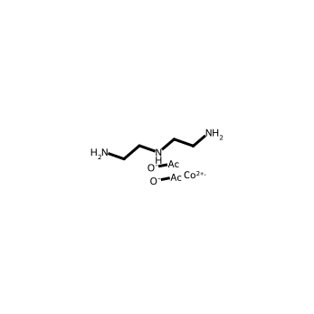 CC(=O)[O-].CC(=O)[O-].NCCNCCN.[Co+2]